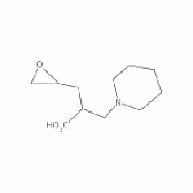 O=C(O)C(CC1CO1)CN1CCCCC1